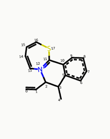 C=CC1C(C)c2ccccc2C2=[N+]1C=CC=CS2